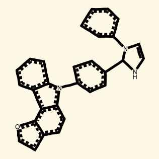 C1=CN(c2ccccc2)C(c2ccc(-n3c4ccccc4c4c5occc5ccc43)cc2)N1